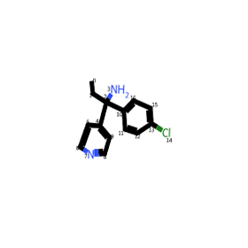 CCC(N)(c1ccncc1)c1ccc(Cl)cc1